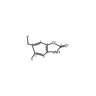 CCc1cc2oc(=O)[nH]c2cc1C